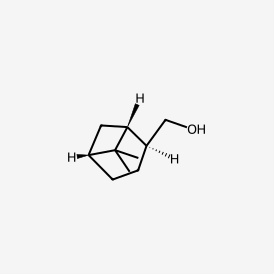 CC1(C)[C@@H]2CC[C@H](CO)[C@H]1C2